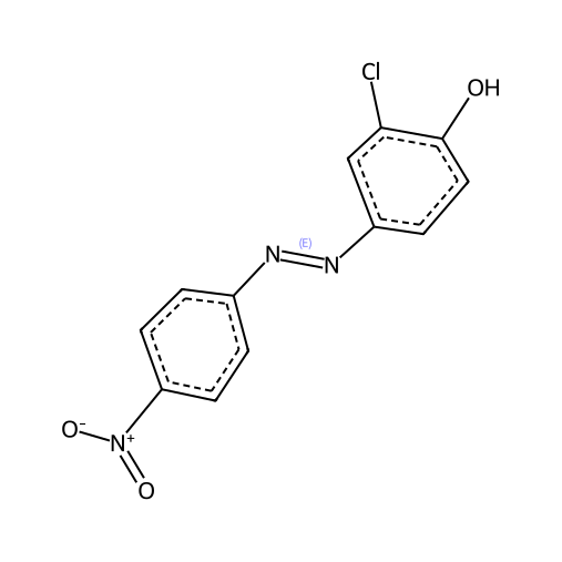 O=[N+]([O-])c1ccc(/N=N/c2ccc(O)c(Cl)c2)cc1